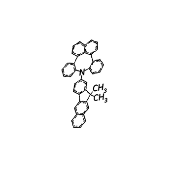 CC1(C)c2cc(N3c4ccccc4-c4cccc5cccc(c45)-c4ccccc43)ccc2-c2cc3ccccc3cc21